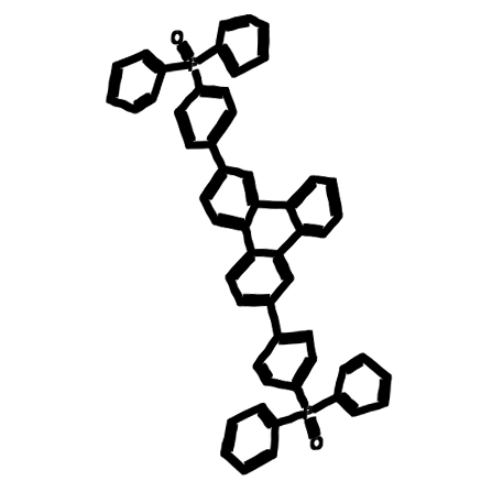 O=P(c1ccccc1)(c1ccccc1)c1ccc(-c2ccc3c4ccc(-c5ccc(P(=O)(c6ccccc6)c6ccccc6)cc5)cc4c4ccccc4c3c2)cc1